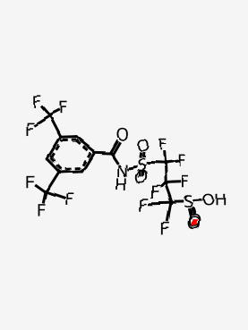 O=C(NS(=O)(=O)C(F)(F)C(F)(F)C(F)(F)S(=O)(=O)O)c1cc(C(F)(F)F)cc(C(F)(F)F)c1